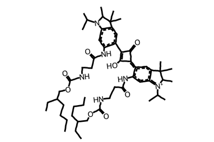 CCCCC(CC)COC(=O)NCCC(=O)Nc1cc2c(cc1C1=C(O)/C(=c3/cc4c(cc3NC(=O)CCNC(=O)OCC(CC)CCCC)=[N+](C(C)C)C(C)C4(C)C)C1=O)C(C)(C)C(C)N2C(C)C